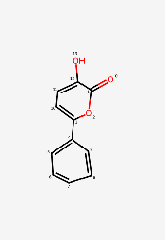 O=c1oc(-c2ccccc2)ccc1O